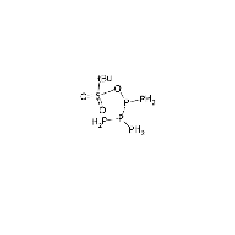 CC(C)(C)S(=O)(=O)OP(P)P(P)P